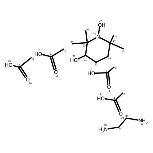 CC(=O)O.CC(=O)O.CC(=O)O.CC(=O)O.CC1(C)CCC(O)C(C)(C)N1O.NCCN